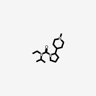 CCN(C(=O)N1CCCC1C1CCN(C)CC1)C(C)C